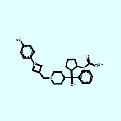 COC(=O)NC1CCCC1C(C#N)(c1ccccc1)C1CCN(CC2CN(c3ccc(C#N)cc3)C2)CC1